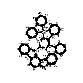 c1ccc(-c2nc(-n3c4ccccc4c4ccc5sc6ccccc6c5c43)nc3c2-c2ccccc2[Si]3(c2ccccc2)c2ccccc2)cc1